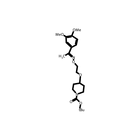 COc1ccc(C(C)=NOCCOC2CCN(C(=O)OC(C)(C)C)CC2)cc1OC